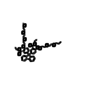 CCCOCCOCCOOc1ccc(C2(c3ccc(OCCOCCOCCOC)c(C(=O)OCC)c3)c3ccccc3-c3ccccc32)cc1C(=O)OCC